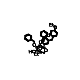 CCOc1ccc(Cc2cc([C@]34OC[C@](CC)(O3)[C@@H](O)[C@H](OCc3ccccc3)[C@H]4OCc3ccccc3)ccc2Cl)cc1